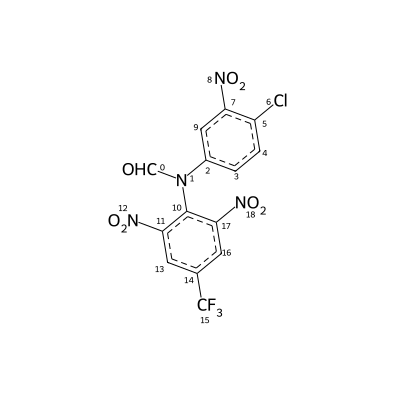 O=CN(c1ccc(Cl)c([N+](=O)[O-])c1)c1c([N+](=O)[O-])cc(C(F)(F)F)cc1[N+](=O)[O-]